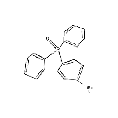 CC[C@@H](C)c1ccc(P(=O)(c2ccccc2)c2ccccc2)cc1